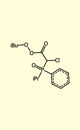 CCC(C)OOC(=O)C(Cl)P(=O)(c1ccccc1)C(C)C